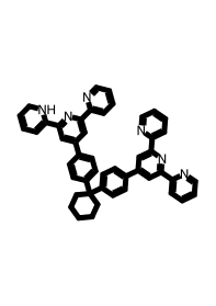 C1=CCNC(c2cc(-c3ccc(C4(c5ccc(-c6cc(-c7ccccn7)nc(-c7ccccn7)c6)cc5)CCCCC4)cc3)cc(-c3ccccn3)n2)=C1